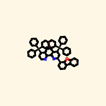 c1ccc([Si](c2ccccc2)(c2ccccc2)c2ccnc3c2ccc2c([Si](c4ccccc4)(c4ccccc4)c4ccccc4)cc(-c4cccc5c4oc4ccccc45)nc23)cc1